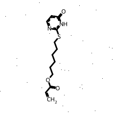 C=CC(=O)OCCCCCCSc1nccc(=O)[nH]1